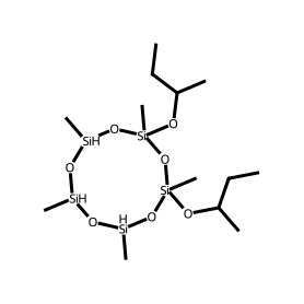 CCC(C)O[Si]1(C)O[SiH](C)O[SiH](C)O[SiH](C)O[Si](C)(OC(C)CC)O1